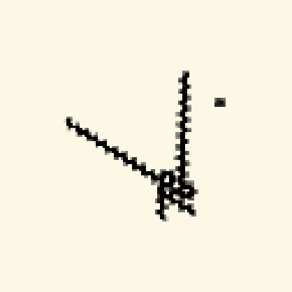 CCCCCCCCCCCCCCCCC=CCCc1ccccc1N=C(CCCC)C(CCCCC)=Nc1ccccc1CCC=CCCCCCCCCCCCCCCCC.[Pd]